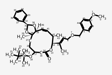 COc1ccc(COCC=C(C)[C@H]2OC(=O)CC(O[Si](C)(C)C(C)(C)C)CC[C@@]3(C)O[C@@H](c4ccccc4)O[C@H]3C=C[C@@H]2C)cc1